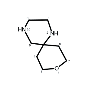 C1CNC2(CCOCC2)CN1